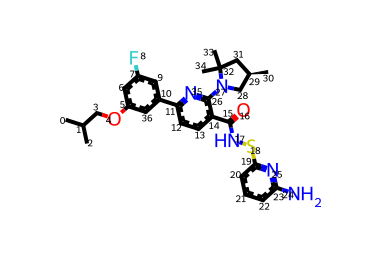 CC(C)COc1cc(F)cc(-c2ccc(C(=O)NSc3cccc(N)n3)c(N3C[C@H](C)CC3(C)C)n2)c1